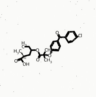 CCC(C[C@H](C)C(=O)O)OC(=O)C(C)(C)Oc1ccc(C(=O)c2ccc(Cl)cc2)cc1